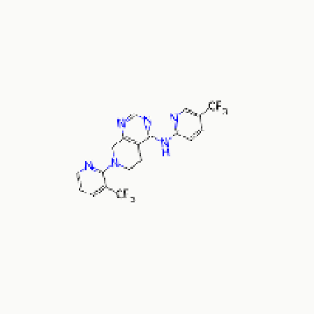 FC(F)(F)c1ccc(Nc2ncnc3c2CCN(c2ncccc2C(F)(F)F)C3)nc1